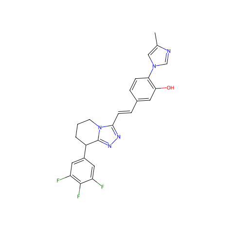 Cc1cn(-c2ccc(/C=C/c3nnc4n3CCCC4c3cc(F)c(F)c(F)c3)cc2O)cn1